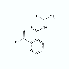 CC(S)NC(=O)c1ccccc1C(=O)O